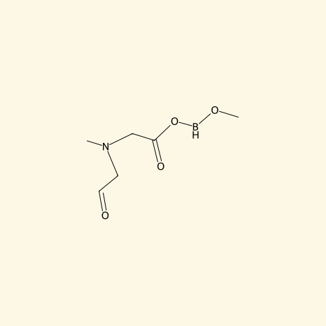 COBOC(=O)CN(C)CC=O